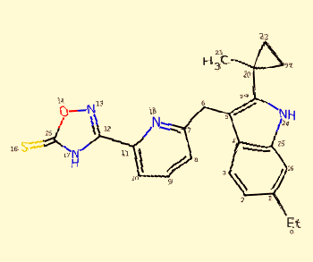 CCc1ccc2c(Cc3cccc(-c4noc(=S)[nH]4)n3)c(C3(C)CC3)[nH]c2c1